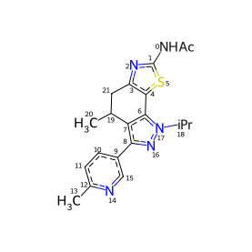 CC(=O)Nc1nc2c(s1)-c1c(c(-c3ccc(C)nc3)nn1C(C)C)C(C)C2